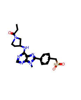 CCC(=O)N1CCC(Nc2ncnc3c2nc(-c2ccc(C[SH](=O)=O)cc2)n3C)C1